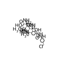 C[C@@H]1c2ccc(NC(=O)Nc3ccc(CCl)cc3)c(O)c2C(=O)C2=C(O)[C@@]3(O)C(=O)C(C(N)=O)=C(O)[C@H](N(C)C)[C@H]3[C@@H](O)[C@H]21